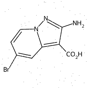 Nc1nn2ccc(Br)cc2c1C(=O)O